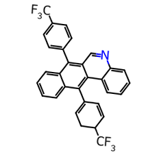 FC(F)(F)c1ccc(-c2c3ccccc3c(C3=CCC(C(F)(F)F)C=C3)c3c2cnc2ccccc23)cc1